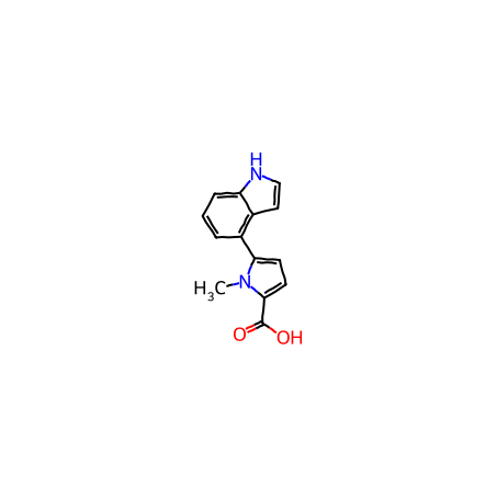 Cn1c(C(=O)O)ccc1-c1cccc2[nH]ccc12